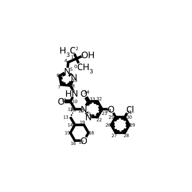 CC(C)(O)Cn1ccc(NC(=O)[C@@H](CC2CCOCC2)n2ncc(Oc3ccccc3Cl)cc2=O)n1